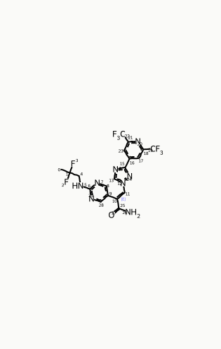 CC(F)(F)CNc1ncc(/C(=C\n2cnc(-c3cc(C(F)(F)F)nc(C(F)(F)F)c3)n2)C(N)=O)cn1